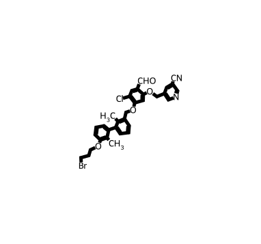 Cc1c(COc2cc(OCc3cncc(C#N)c3)c(C=O)cc2Cl)cccc1-c1cccc(OCCCBr)c1C